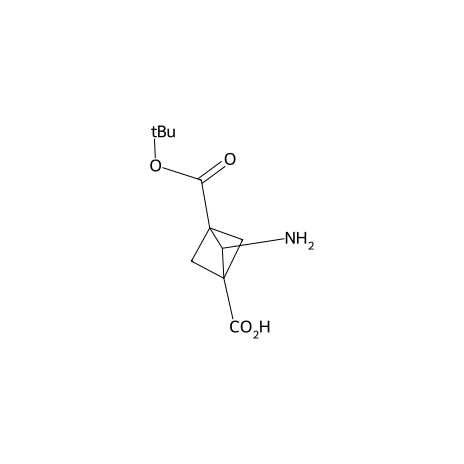 CC(C)(C)OC(=O)C12CC(C(=O)O)(C1)C2N